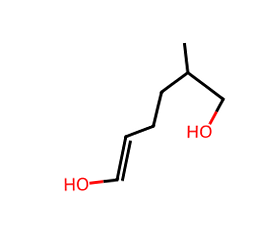 CC(CO)CCC=CO